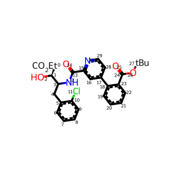 CCOC(=O)[C@H](O)C(Cc1ccccc1Cl)NC(=O)c1cc(-c2ccccc2C(=O)OC(C)(C)C)ccn1